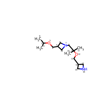 CC(C)OCC1CN(CC(C)(C)OCC2CNC2)C1